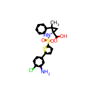 CC1(c2ccccc2)C[C@@]1(NS(=O)(=O)c1ccc(-c2ccc(Cl)c(N)c2)s1)C(=O)O